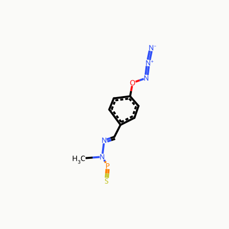 CN(/N=C/c1ccc(ON=[N+]=[N-])cc1)P=S